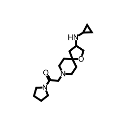 O=C(CN1CCC2(CC1)CC(NC1CC1)CO2)N1CCCC1